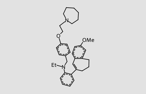 CCN(Cc1ccc(OCCN2CCCCCC2)cc1)c1ccccc1C1=Cc2ccc(OC)cc2CCC1